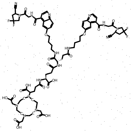 N#CC1CC(F)(F)CN1C(=O)CNC(=O)c1ccnc2ccc(OCCCCNC(=O)CC[C@H](NC(=O)CC[C@H](NC(=O)CCC(C(=O)O)N3CCN(CC(=O)O)CCN(CC(=O)O)CCN(CC(=O)O)CC3)C(=O)O)C(=O)NCCCCOc3ccc4nccc(C(=O)NCC(=O)N5CC(F)(F)CC5C#N)c4c3)cc12